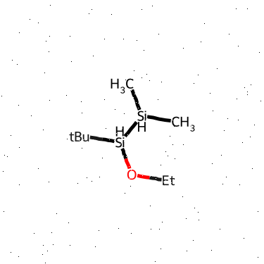 CCO[SiH]([SiH](C)C)C(C)(C)C